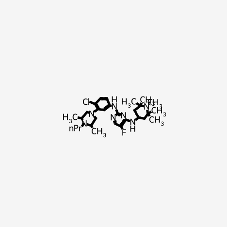 CCCN1C(C)CN(c2cc(Nc3ncc(F)c(NC4CC(C)(C)N(C)C(C)(C)C4)n3)ccc2Cl)CC1C